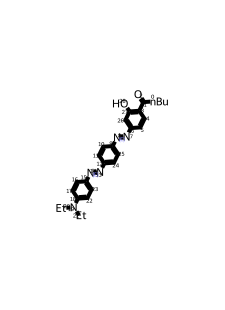 CCCCC(=O)c1ccc(/N=N/c2ccc(/N=N/c3ccc(N(CC)CC)cc3)cc2)cc1O